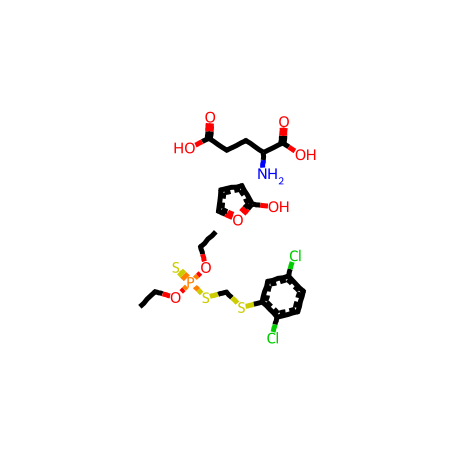 CCOP(=S)(OCC)SCSc1cc(Cl)ccc1Cl.NC(CCC(=O)O)C(=O)O.Oc1ccco1